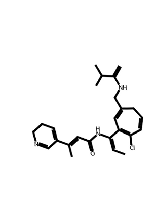 C=C(NCC1=CC(/C(=C\C)NC(=O)/C=C(\C)C2=CCCN=C2)=C(Cl)C=CC1)C(C)C